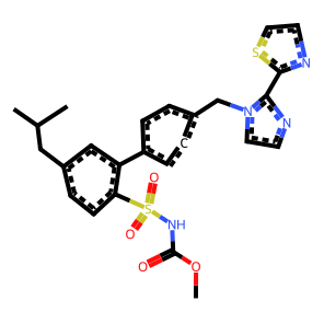 COC(=O)NS(=O)(=O)c1ccc(CC(C)C)cc1-c1ccc(Cn2ccnc2-c2nccs2)cc1